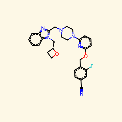 N#Cc1ccc(COc2cccc(N3CCN(Cc4nc5ccccc5n4C[C@@H]4CCO4)CC3)n2)c(F)c1